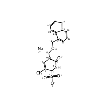 O=C1NC(S(=O)(=O)[O-])C(Cl)=CN1COCc1cccc2ccccc12.[Na+]